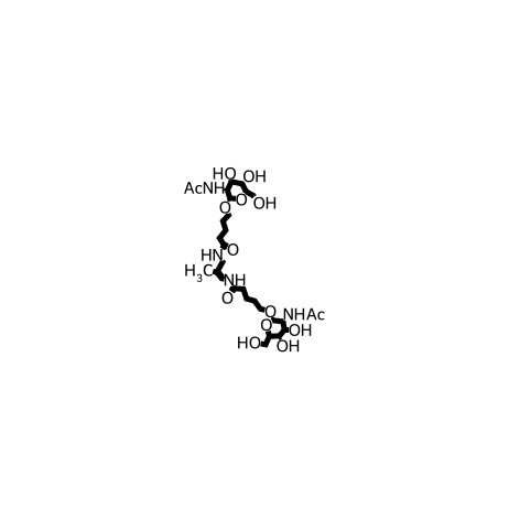 CC(=O)NC1C(O)[C@@H](O)C(CO)O[C@H]1OCCCCC(=O)NC=C(C)CNC(=O)CCCCO[C@@H]1OC(CO)[C@H](O)C(O)[C@@H]1NC(C)=O